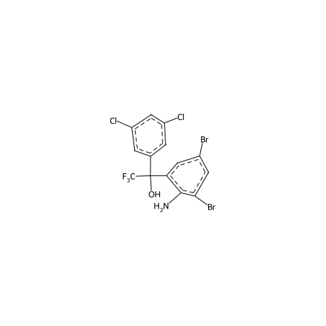 Nc1c(Br)cc(Br)cc1C(O)(c1cc(Cl)cc(Cl)c1)C(F)(F)F